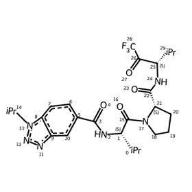 CC(C)[C@H](NC(=O)c1ccc2c(c1)nnn2C(C)C)C(=O)N1CCC[C@H]1C(=O)N[C@H](C(=O)C(F)(F)F)C(C)C